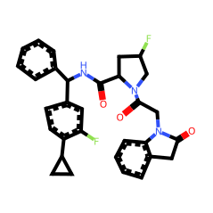 O=C(NC(c1ccccc1)c1ccc(C2CC2)c(F)c1)C1CC(F)CN1C(=O)CN1C(=O)Cc2ccccc21